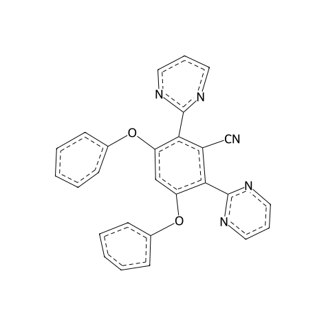 N#Cc1c(-c2ncccn2)c(Oc2ccccc2)cc(Oc2ccccc2)c1-c1ncccn1